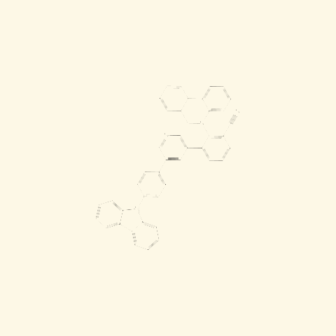 N#Cc1cccc(-c2cncc(-c3ccc(-n4c5ccccc5c5ccccc54)cc3)c2)c1N1CC2C=CC=CC2c2ccccc21